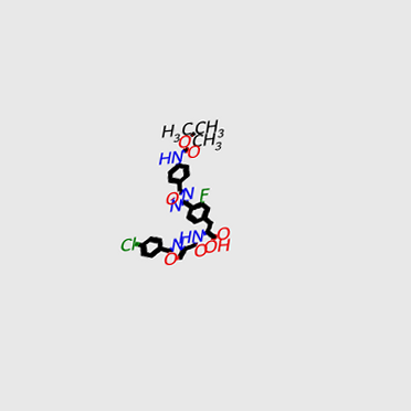 CC(C)(C)OC(=O)Nc1ccc(-c2nc(-c3ccc(CC(NC(=O)c4coc(-c5ccc(Cl)cc5)n4)C(=O)O)cc3F)no2)cc1